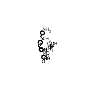 CN(CC1CCC(N)CC1)C1CCN(Cc2ccc3c(c2)n(C)c(=O)n3C2CCC(=O)NC2=O)CC1.O=C(O)C(F)(F)F